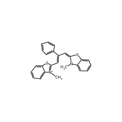 CN1/C(=C\C(=C\c2sc3ccccc3[n+]2C)c2ccccc2)Sc2ccccc21